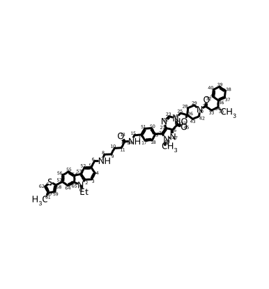 CCn1c2ccc(CNCCCCC(=O)NCc3ccc(-c4c5ncn(CC6(O)CCN(C(=O)C[C@@H](C)c7ccccc7)CC6)c(=O)c5nn4C)cc3)cc2c2ccc(-c3cc(C)cs3)cc21